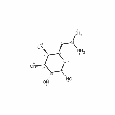 CN(N)C[C@H]1O[C@H](N=O)[C@H](N=O)[C@@H](N=O)[C@H]1N=O